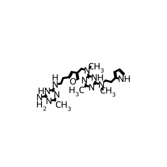 CC1N=C(N)NC(NCCc2cc(CN(C)C3=NC(C)N=C(N(C)CCc4ccc[nH]4)N3)co2)=N1